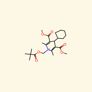 COC(=O)C1=C(C)N(COC(=O)C(C)(C)C)C(C)=C(C(=O)OC)C1C1CCCCC1